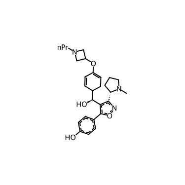 CCCN1CC(OC2=CCC([C@H](O)c3c([C@@H]4CCCN4C)noc3-c3ccc(O)cc3)C=C2)C1